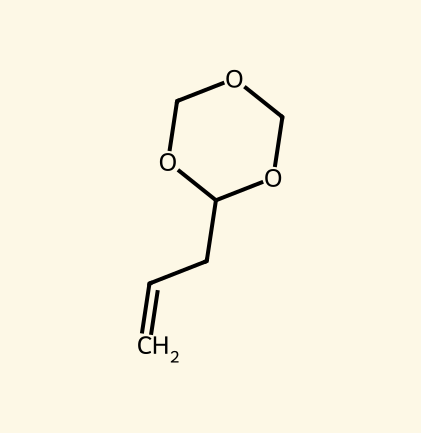 C=CCC1OCOCO1